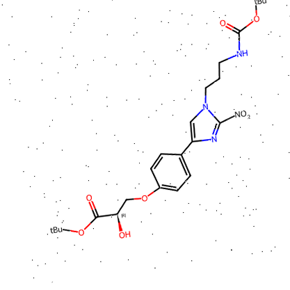 CC(C)(C)OC(=O)NCCCn1cc(-c2ccc(OC[C@@H](O)C(=O)OC(C)(C)C)cc2)nc1[N+](=O)[O-]